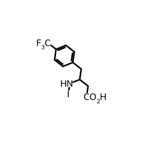 O=C(O)CC(Cc1ccc(C(F)(F)F)cc1)NI